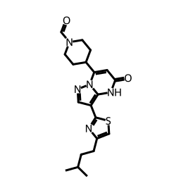 CC(C)CCc1csc(-c2cnn3c(C4CCN(C=O)CC4)cc(=O)[nH]c23)n1